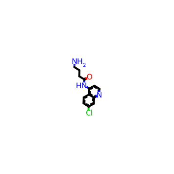 NCCCC(=O)Nc1ccnc2cc(Cl)ccc12